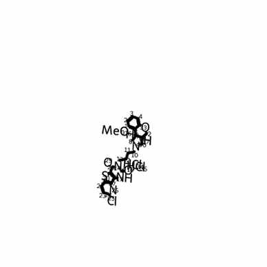 COc1cccc2c1[C@H]1CN(CCCCn3c(=O)[nH]c4c(sc5ccc(Cl)nc54)c3=O)C[C@@H]1CO2.Cl.Cl